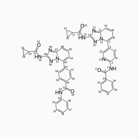 O=C(Nc1ccc(-c2cccc3nc(NC(=O)C4CC4)nn23)cn1)c1ccccc1.O=C(Nc1ccccc1)c1ccc(-c2cccc3nc(NC(=O)C4CC4)nn23)cc1